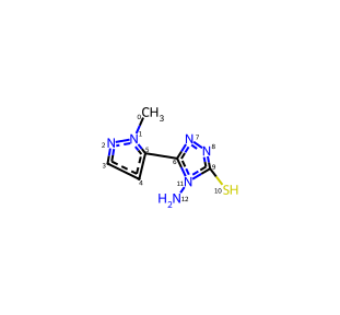 Cn1nccc1-c1nnc(S)n1N